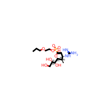 CCCOCCOP(=O)(O)C1=C[C@H](NC(=N)N)[C@@H](C)[C@H]([C@H](O)[C@H](O)CO)O1